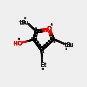 CCc1c(C(C)(C)C)oc(C(C)(C)C)c1O